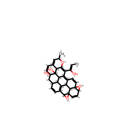 CCC=C(O)C1=C2OC(C)C=C3C=CC4(O)CC5C=CC6=C7C8C(=C1C(C75)C4(O)C32)C=CC12OC1C=CC1(OC61)C82